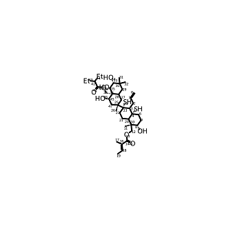 C=CCC1[C@@]2(S)CC[C@H](O)[C@](C)(COC(=O)/C(C)=C/C)C2CC[C@@]1(S)[C@@]1(C)CC2CC(C)(C)[C@@H](O)[C@H](O)[C@]2(COC(=O)C(CC)CC)[C@H](O)C1